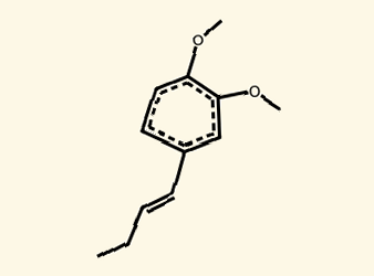 CC/C=C/c1ccc(OC)c(OC)c1